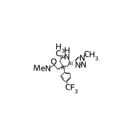 CNC(=O)C[C@]1(c2ccc(C(F)(F)F)cc2)C[C@@H](c2cn(C)nn2)N[C@@H](C)C1